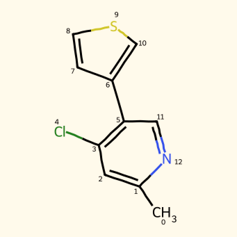 Cc1cc(Cl)c(-c2ccsc2)cn1